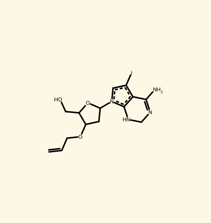 C=CCOC1CC(n2cc(I)c3c2NCN=C3N)OC1CO